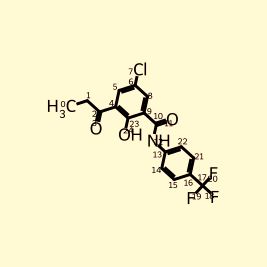 CCC(=O)c1cc(Cl)cc(C(=O)Nc2ccc(C(F)(F)F)cc2)c1O